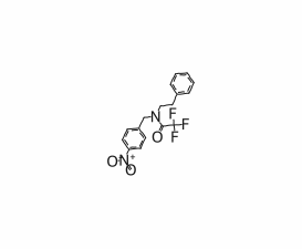 O=C(N(CCc1ccccc1)Cc1ccc([N+](=O)[O-])cc1)C(F)(F)F